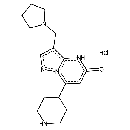 Cl.O=c1cc(C2CCNCC2)n2ncc(CN3CCCC3)c2[nH]1